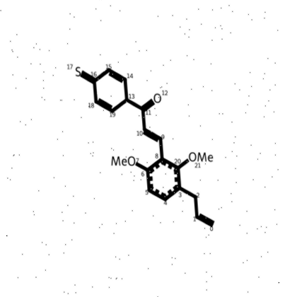 C=CCc1ccc(OC)c(/C=C/C(=O)C2C=CC(=S)C=C2)c1OC